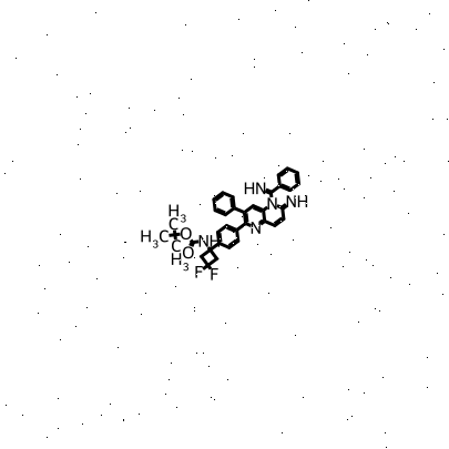 CC(C)(C)OC(=O)NC1(c2ccc(-c3nc4ccc(=N)n(C(=N)c5ccccc5)c4cc3-c3ccccc3)cc2)CC(F)(F)C1